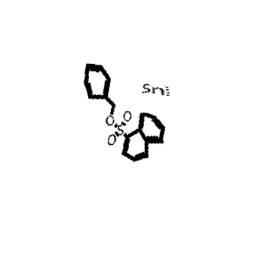 O=S(=O)(OCc1ccccc1)c1cccc2ccccc12.[Sn]